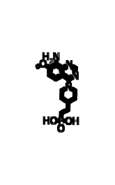 COc1ccc2c(N3CCC(CCP(=O)(O)O)CC3)ncnc2c1N